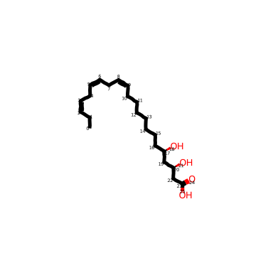 CC/C=C\C/C=C\C/C=C\CCCCCCC[C@@H](O)C[C@@H](O)CC(=O)O